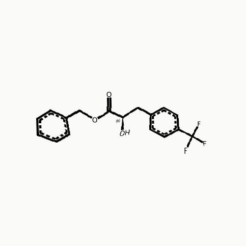 O=C(OCc1ccccc1)[C@H](O)Cc1ccc(C(F)(F)F)cc1